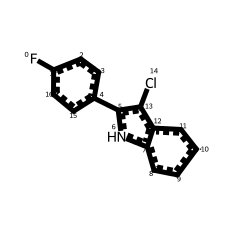 Fc1ccc(-c2[nH]c3cc[c]cc3c2Cl)cc1